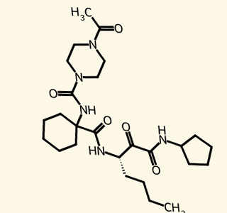 CCCC[C@H](NC(=O)C1(NC(=O)N2CCN(C(C)=O)CC2)CCCCC1)C(=O)C(=O)NC1CCCC1